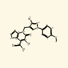 COc1ccc(-n2cc(Cn3c(=O)c(O)c(C(=O)O)c4sccc43)c(Br)n2)cc1